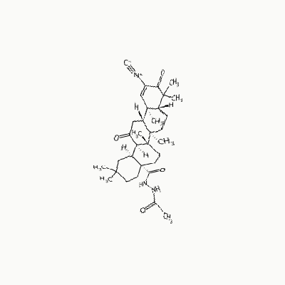 [C-]#[N+]C1=C[C@]2(C)[C@H]3CC(=O)[C@@H]4[C@@H]5CC(C)(C)CC[C@]5(C(=O)NNC(C)=O)CC[C@@]4(C)[C@]3(C)CC[C@H]2C(C)(C)C1=O